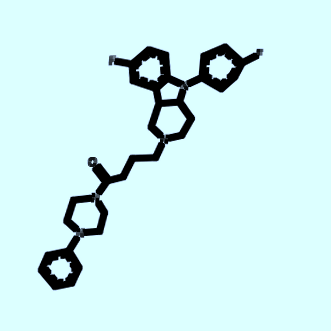 O=C(CCCN1CCC2C(C1)c1cc(F)ccc1N2c1ccc(F)cc1)N1CCN(c2ccccc2)CC1